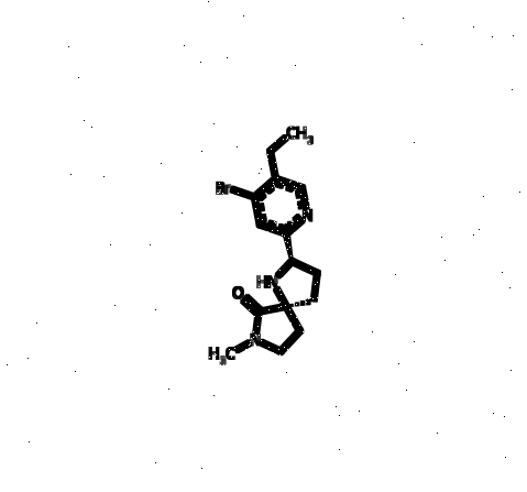 CCc1cnc([C@H]2CC[C@@]3(CCN(C)C3=O)N2)cc1Br